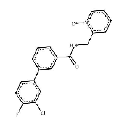 O=C(NCc1cccc[n+]1[O-])c1cccc(-c2ccc(F)c(Cl)c2)c1